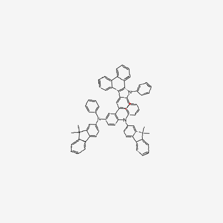 CC1(C)c2ccccc2-c2ccc(N(c3ccccc3)c3ccc(N(c4ccccc4)c4ccc5c(c4)C(C)(C)c4ccccc4-5)c(-c4ccc5c(c4)c4c6ccccc6c6ccccc6c4n5-c4ccccc4)c3)cc21